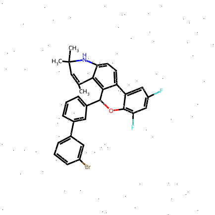 CC1=CC(C)(C)Nc2ccc3c(c21)C(c1cccc(-c2cccc(Br)c2)c1)Oc1c(F)cc(F)cc1-3